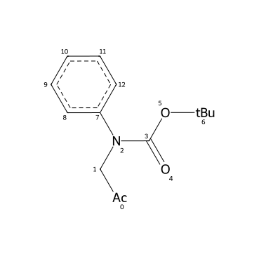 CC(=O)CN(C(=O)OC(C)(C)C)c1ccccc1